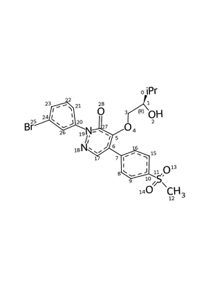 CC(C)[C@@H](O)COc1c(-c2ccc(S(C)(=O)=O)cc2)cnn(-c2cccc(Br)c2)c1=O